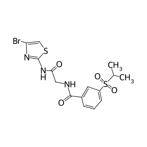 CC(C)S(=O)(=O)c1cccc(C(=O)NCC(=O)Nc2nc(Br)cs2)c1